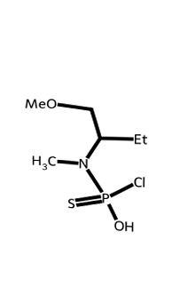 CCC(COC)N(C)P(O)(=S)Cl